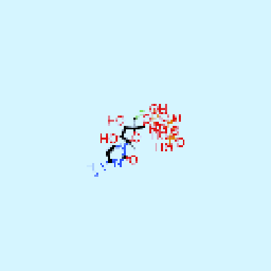 C[C@@]1(n2ccc(N)nc2=O)O[C@](CF)(COP(=O)(O)OP(=O)(O)OP(=O)(O)O)[C@@H](O)[C@H]1O